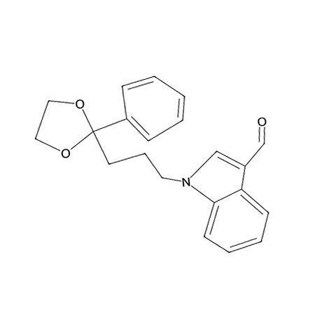 O=Cc1cn(CCCC2(c3ccccc3)OCCO2)c2ccccc12